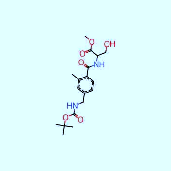 COC(=O)C(CO)NC(=O)c1ccc(CNC(=O)OC(C)(C)C)cc1C